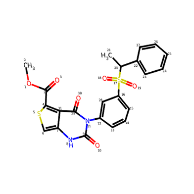 COC(=O)c1scc2[nH]c(=O)n(-c3cccc(S(=O)(=O)C(C)c4ccccc4)c3)c(=O)c12